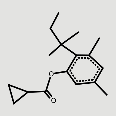 CCC(C)(C)c1c(C)cc(C)cc1OC(=O)C1CC1